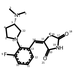 CN(C)[C@H]1CCN(c2c(F)cccc2/C=C2/SC(=O)NC2=O)C1